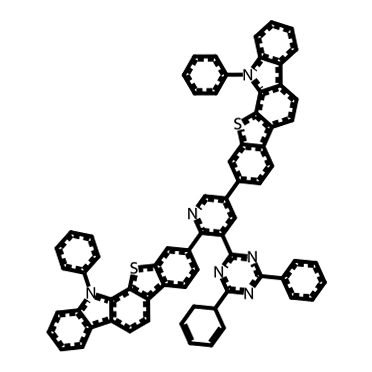 C1=CCC(c2nc(-c3ccccc3)nc(-c3cc(-c4ccc5c(c4)sc4c5ccc5c6ccccc6n(-c6ccccc6)c54)cnc3-c3ccc4c(c3)sc3c4ccc4c5ccccc5n(-c5ccccc5)c43)n2)C=C1